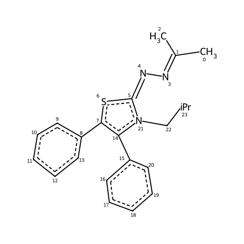 CC(C)=NN=c1sc(-c2ccccc2)c(-c2ccccc2)n1CC(C)C